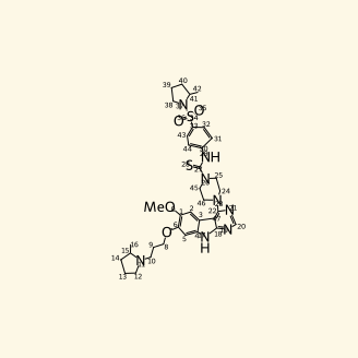 COc1cc2c(cc1OCCCN1CCCC1C)[nH]c1ncnc(N3CCN(C(=S)Nc4ccc(S(=O)(=O)N5CCCC5C)cc4)CC3)c12